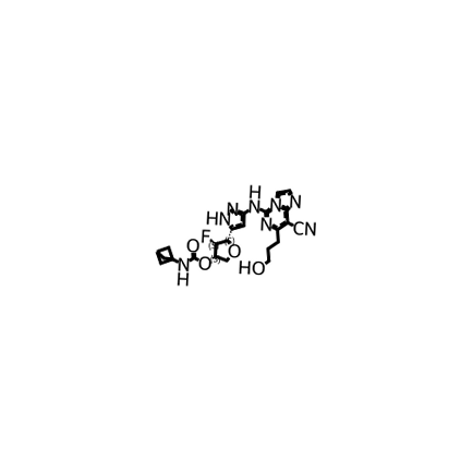 N#Cc1c(CCCO)nc(Nc2cc([C@@H]3OC[C@H](OC(=O)NC45CC(C4)C5)[C@H]3F)[nH]n2)n2ccnc12